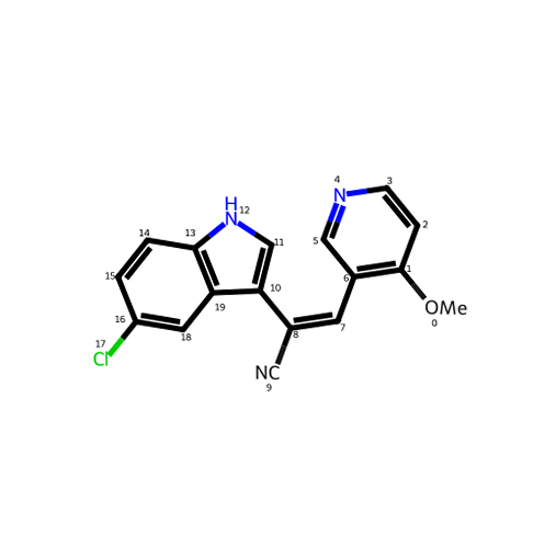 COc1ccncc1/C=C(/C#N)c1c[nH]c2ccc(Cl)cc12